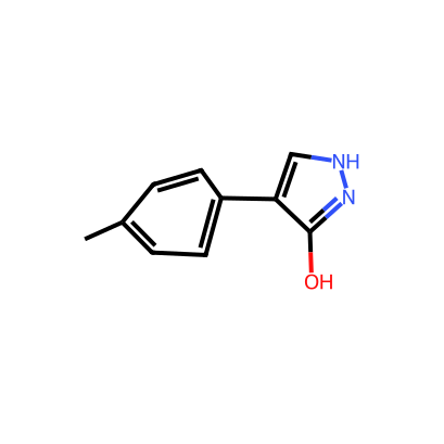 Cc1ccc(-c2c[nH]nc2O)cc1